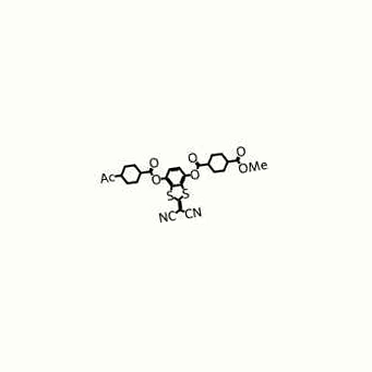 COC(=O)C1CCC(C(=O)Oc2ccc(OC(=O)C3CCC(C(C)=O)CC3)c3c2SC(=C(C#N)C#N)S3)CC1